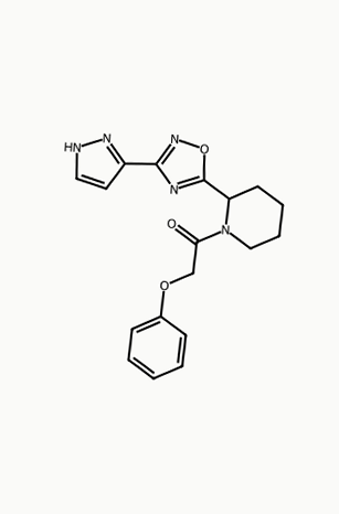 O=C(COc1ccccc1)N1CCCCC1c1nc(-c2cc[nH]n2)no1